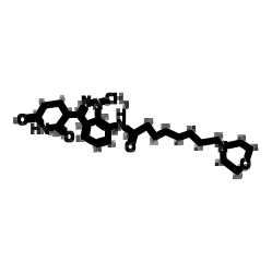 Cn1nc(C2CCC(=O)NC2=O)c2cccc(NC(=O)CCCCCCCN3CCOCC3)c21